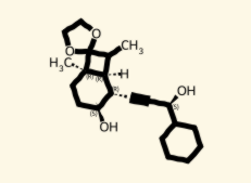 CC1[C@H]2[C@H](C#C[C@@H](O)C3CCCCC3)[C@@H](O)CC[C@@]2(C)C12OCCO2